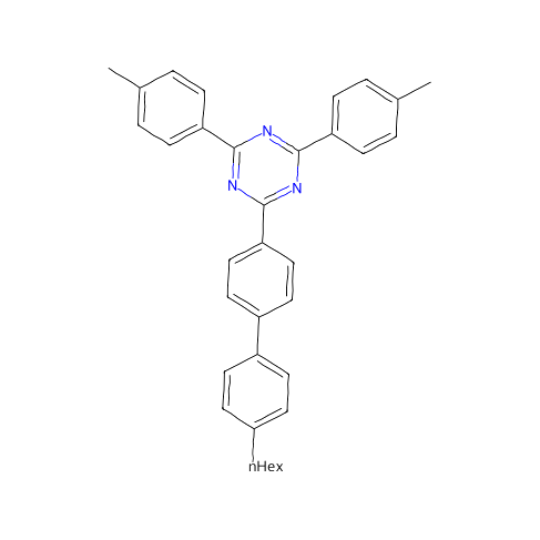 CCCCCCc1ccc(-c2ccc(-c3nc(-c4ccc(C)cc4)nc(-c4ccc(C)cc4)n3)cc2)cc1